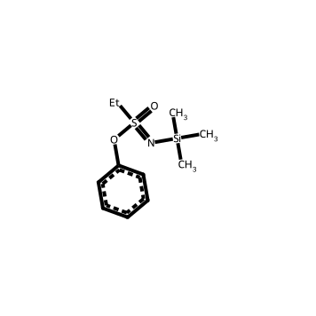 CCS(=O)(=N[Si](C)(C)C)Oc1ccccc1